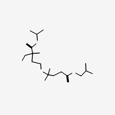 CCC(C)(CCOC(C)(C)CCC(=O)OCC(C)C)C(=O)NC(C)C